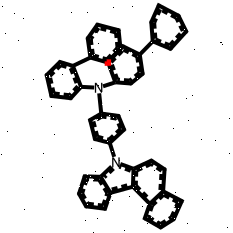 c1ccc(-c2ccc(N(c3ccc(-n4c5ccccc5c5c6ccccc6ccc54)cc3)c3ccccc3-c3ccccc3)cc2)cc1